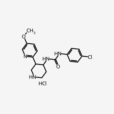 COc1ccc(C2CNCCC2NC(=O)Nc2ccc(Cl)cc2)nc1.Cl